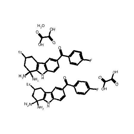 CCC1Cc2c([nH]c3ccc(C(=O)c4ccc(F)cc4)cc23)C(N)(N)C1.CCC1Cc2c([nH]c3ccc(C(=O)c4ccc(F)cc4)cc23)C(N)(N)C1.O.O=C(O)C(=O)O.O=C(O)C(=O)O